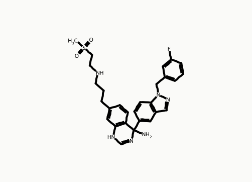 CS(=O)(=O)CCNCCCc1ccc2c(c1)NC=NC2(N)c1ccc2c(cnn2Cc2cccc(F)c2)c1